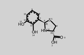 O=C(O)[C@H]1CS[C@H](c2cccc(O)c2O)N1